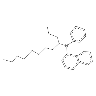 CCCCCCCCC(CCC)N(c1ccccc1)c1cccc2ccccc12